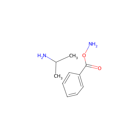 CC(C)N.NOC(=O)c1ccccc1